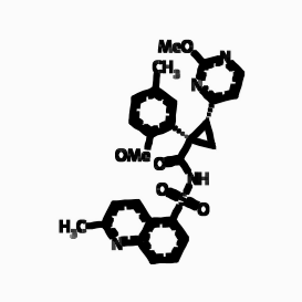 COc1nccc([C@@H]2C[C@]2(C(=O)NS(=O)(=O)c2cccc3nc(C)ccc23)c2cc(C)ccc2OC)n1